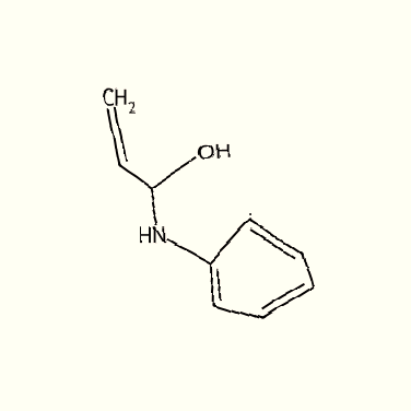 C=CC(O)Nc1[c]cccc1